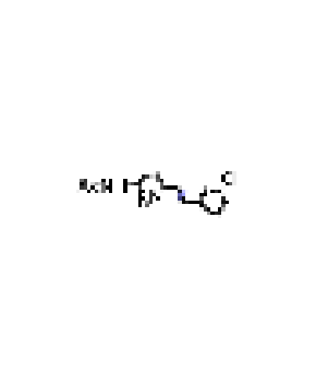 CC(=O)Nc1ccc(/C=C/c2cccc(Cl)c2)nn1